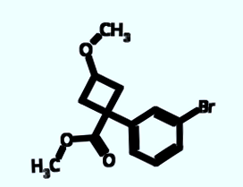 COC(=O)C1(c2cccc(Br)c2)CC(OC)C1